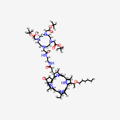 CCCCCCOC(C)c1c(C)c2cc3nc(c4c5[nH]c(cc6nc(cc1[nH]2)C(C)=C6CC)c(C)c5C(=O)C4)[C@@H](CCC(=O)NCCNC(=O)CN1CCN(CC(=O)OC(C)(C)C)CCN(CC(=O)OC(C)(C)C)CCN(CC(=O)OC(C)(C)C)CC1)C3C